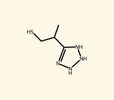 CC(CS)C1=NNNN1